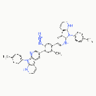 Cc1cc(-c2cnc3c(c2)c2c(n3C3=CC=C(C(F)(F)F)CC3)NCC=C2)c(N=[N+]=[N-])cc1C1=CNC2C(=C1)C1=C(NCC=C1)N2c1ccc(C(F)(F)F)cc1